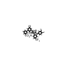 Cc1ccc(N2C(=O)C(=NNc3cc(Cl)cc(-c4cccc(C(=O)O)c4)c3O)c3ccc(C(F)(F)F)cc32)cc1C